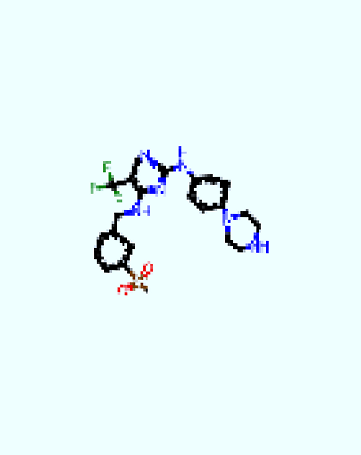 CS(=O)(=O)c1cccc(CNc2nc(Nc3ccc(N4CCNCC4)cc3)ncc2C(F)(F)F)c1